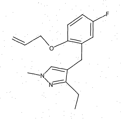 C=CCOc1ccc(F)cc1Cc1cn(C)nc1CC